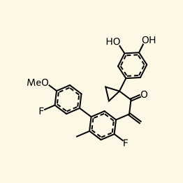 C=C(C(=O)C1(c2ccc(O)c(O)c2)CC1)c1cc(-c2ccc(OC)c(F)c2)c(C)cc1F